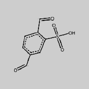 O=[C]c1ccc([C]=O)c(S(=O)(=O)O)c1